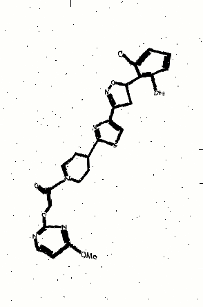 COc1ccnc(OCC(=O)N2CCC(c3nc(C4=NOC(c5c(O)cccc5Cl)C4)cs3)CC2)n1